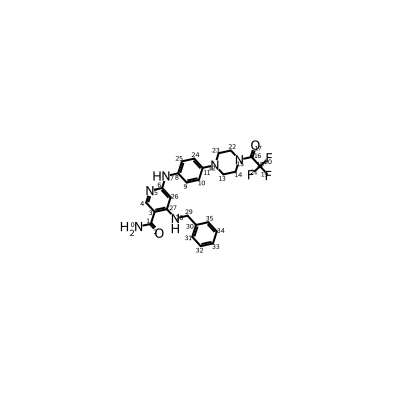 NC(=O)c1cnc(Nc2ccc(N3CCN(C(=O)C(F)(F)F)CC3)cc2)cc1NCc1ccccc1